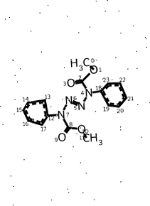 COC(=O)N(/N=N/N(C(=O)OC)c1ccccc1)c1ccccc1